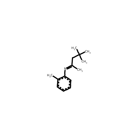 C/C(CC(C)(C)C)=N\c1ccccc1C